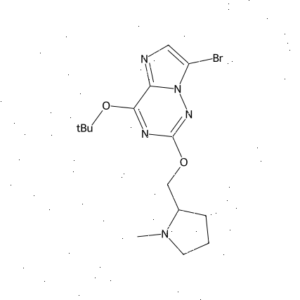 CN1CCCC1COc1nc(OC(C)(C)C)c2ncc(Br)n2n1